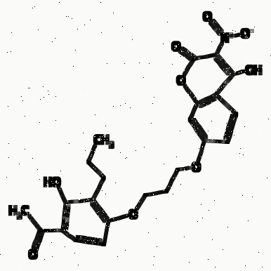 CCCc1c(OCCCOc2ccc3c(O)c([N+](=O)[O-])c(=O)oc3c2)ccc(C(C)=O)c1O